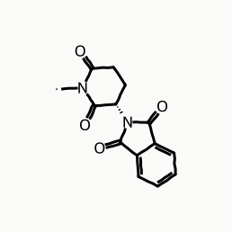 [CH2]N1C(=O)CC[C@H](N2C(=O)c3ccccc3C2=O)C1=O